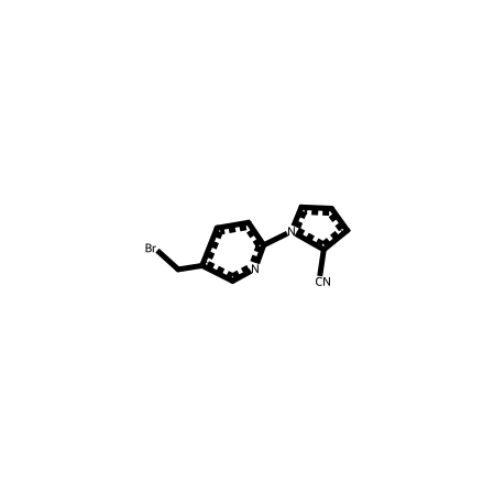 N#Cc1cccn1-c1ccc(CBr)cn1